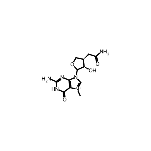 C[n+]1cn(C2OC[C@@H](CC(N)=O)[C@H]2O)c2nc(N)[nH]c(=O)c21